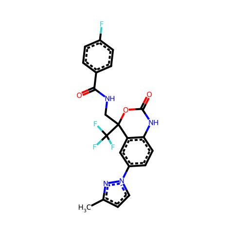 Cc1ccn(-c2ccc3c(c2)C(CNC(=O)c2ccc(F)cc2)(C(F)(F)F)OC(=O)N3)n1